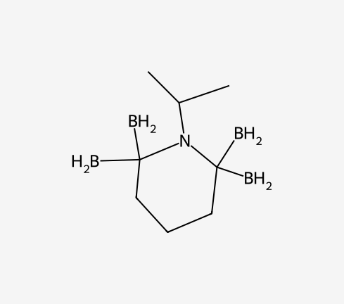 BC1(B)CCCC(B)(B)N1C(C)C